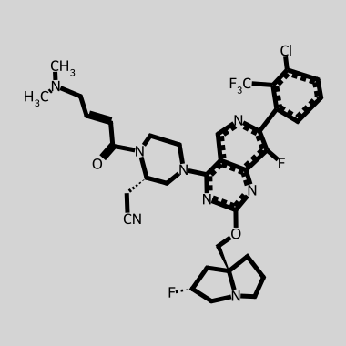 CN(C)C/C=C/C(=O)N1CCN(c2nc(OC[C@@]34CCCN3C[C@H](F)C4)nc3c(F)c(-c4cccc(Cl)c4C(F)(F)F)ncc23)C[C@@H]1CC#N